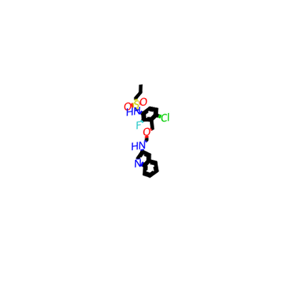 CCCS(=O)(=O)Nc1ccc(Cl)c(COCNc2cnc3ccccc3c2)c1F